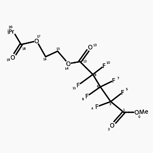 COC(=O)C(F)(F)C(F)(F)C(F)(F)C(=O)OCCOC(=O)C(C)C